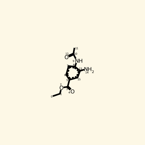 CCOC(=O)c1ccc(NC(C)=O)c(N)c1